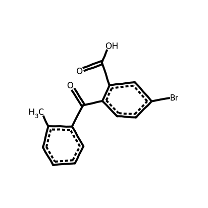 Cc1ccccc1C(=O)c1ccc(Br)cc1C(=O)O